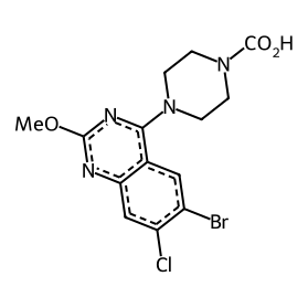 COc1nc(N2CCN(C(=O)O)CC2)c2cc(Br)c(Cl)cc2n1